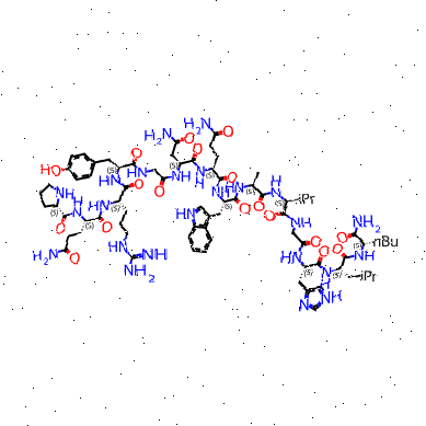 CCCC[C@H](NC(=O)[C@H](CC(C)C)NC(=O)[C@H](Cc1c[nH]cn1)NC(=O)CNC(=O)[C@@H](NC(=O)[C@H](C)NC(=O)[C@H](Cc1c[nH]c2ccccc12)NC(=O)[C@H](CCC(N)=O)NC(=O)[C@H](CC(N)=O)NC(=O)CNC(=O)[C@H](Cc1ccc(O)cc1)NC(=O)[C@H](CCCNC(=N)N)NC(=O)[C@H](CCC(N)=O)NC(=O)[C@@H]1CCCN1)C(C)C)C(N)=O